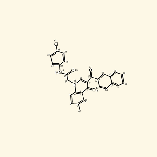 Cc1ccc2c(n1)c(=O)c(C(=O)c1ccc3ccccc3c1)cn2CC(=O)Nc1ccc(Cl)cc1